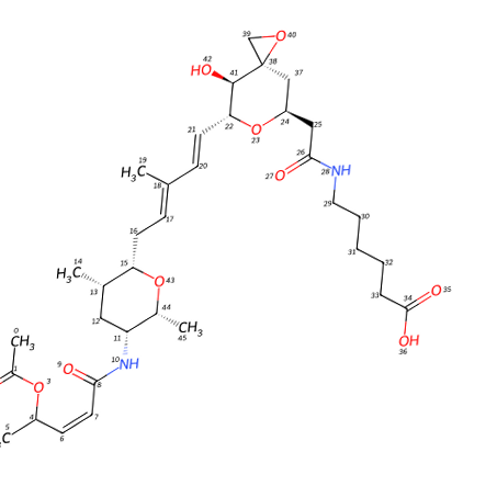 CC(=O)OC(C)/C=C\C(=O)N[C@@H]1C[C@H](C)[C@H](C/C=C(C)/C=C/[C@H]2O[C@H](CC(=O)NCCCCCC(=O)O)C[C@@]3(CO3)[C@@H]2O)O[C@@H]1C